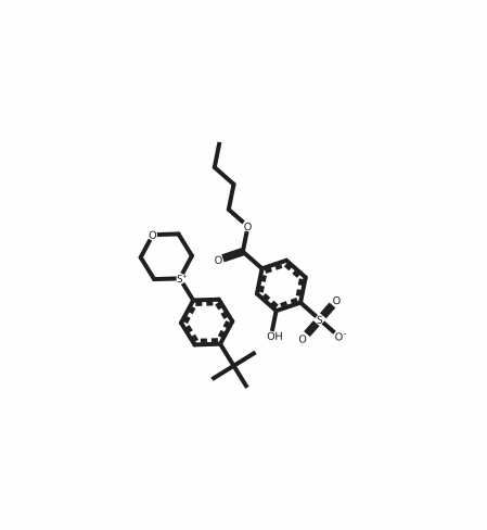 CC(C)(C)c1ccc([S+]2CCOCC2)cc1.CCCCOC(=O)c1ccc(S(=O)(=O)[O-])c(O)c1